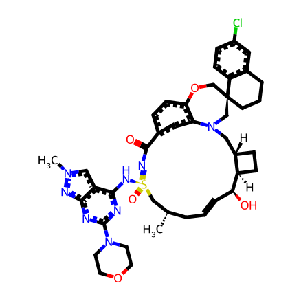 C[C@H]1C/C=C/[C@H](O)[C@@H]2CC[C@H]2CN2C[C@@]3(CCCc4cc(Cl)ccc43)COc3ccc(cc32)C(=O)N=[S@](=O)(Nc2nc(N3CCOCC3)nc3nn(C)cc23)C1